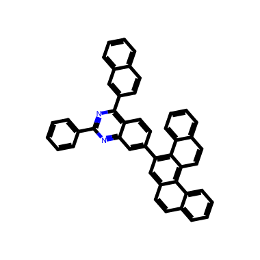 c1ccc(-c2nc(-c3ccc4ccccc4c3)c3ccc(-c4cc5ccc6ccccc6c5c5ccc6ccccc6c45)cc3n2)cc1